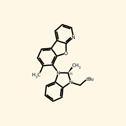 Cc1ccc2c(oc3ncccc32)c1N1c2ccccc2N(CC(C)(C)C)[C@@H]1C